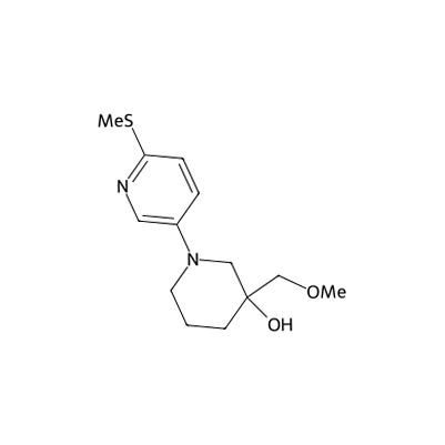 COCC1(O)CCCN(c2ccc(SC)nc2)C1